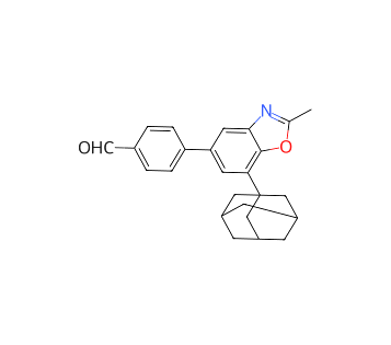 Cc1nc2cc(-c3ccc(C=O)cc3)cc(C34CC5CC(CC(C5)C3)C4)c2o1